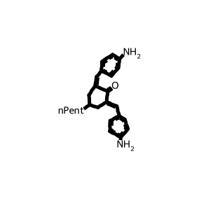 CCCCCC1CC(=Cc2ccc(N)cc2)C(=O)C(=Cc2ccc(N)cc2)C1